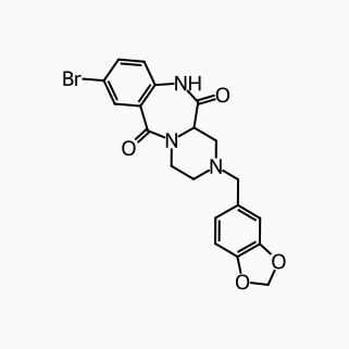 O=C1Nc2ccc(Br)cc2C(=O)N2CCN(Cc3ccc4c(c3)OCO4)CC12